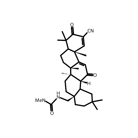 CNC(=O)NC[C@]12CCC(C)(C)CC1[C@H]1C(=O)C=C3[C@@]4(C)C=C(C#N)C(=O)C(C)(C)C4CC[C@@]3(C)[C@]1(C)CC2